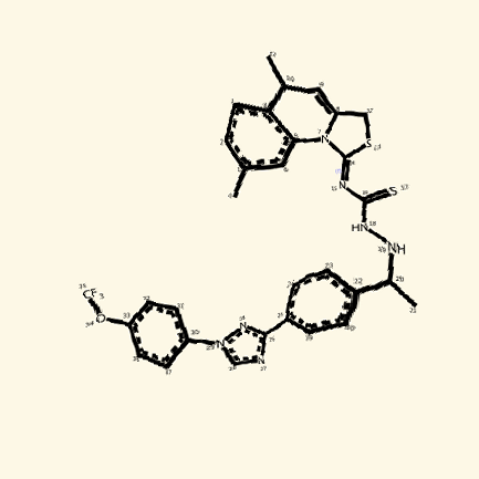 Cc1ccc2c(c1)N1C(=CC2C)CS/C1=N\C(=S)NNC(C)c1ccc(-c2ncn(-c3ccc(OC(F)(F)F)cc3)n2)cc1